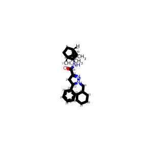 CC1(C)[C@@H]2CC[C@@]1(C)[C@@H](NC(=O)C1=NN(CC3CCCCC3)C(c3ccccc3)C1)C2